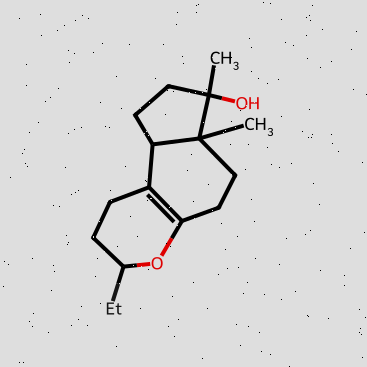 CCC1CCC2=C(CCC3(C)C2CCC3(C)O)O1